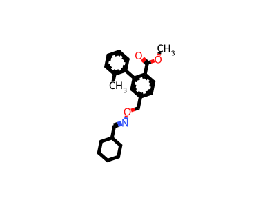 COC(=O)c1ccc(CON=CC2CCCCC2)cc1-c1ccccc1C